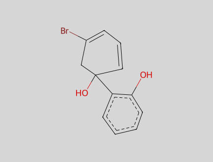 Oc1ccccc1C1(O)C=CC=C(Br)C1